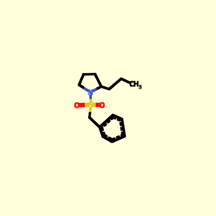 CCCC1CCCN1S(=O)(=O)Cc1ccccc1